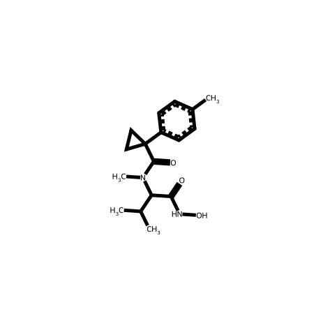 Cc1ccc(C2(C(=O)N(C)C(C(=O)NO)C(C)C)CC2)cc1